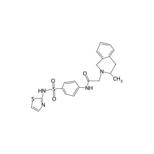 CC1Cc2ccccc2CN1CC(=O)Nc1ccc(S(=O)(=O)Nc2nccs2)cc1